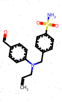 C=CCN(Cc1ccc(S(N)(=O)=O)cc1)c1ccc(C=O)cc1